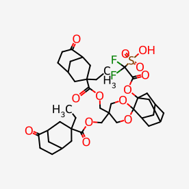 CCC1(C(=O)OCC2(COC(=O)C3(CC)CC4CCC(=O)C(C4)C3)COC3(OC2)C2CC4CC(C2)CC3(OC(=O)C(F)(F)S(=O)(=O)O)C4)CC2CCC(=O)C(C2)C1